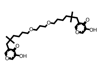 CC(C)(CCCCOCCCOCCCCC(C)(C)Cc1cocc(O)c1=O)Cc1cocc(O)c1=O